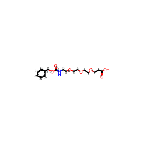 O=C(O)CCOCCOCCOCCNC(=O)OCc1ccccc1